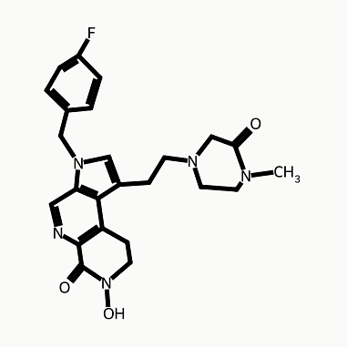 CN1CCN(CCc2cn(Cc3ccc(F)cc3)c3cnc4c(c23)CCN(O)C4=O)CC1=O